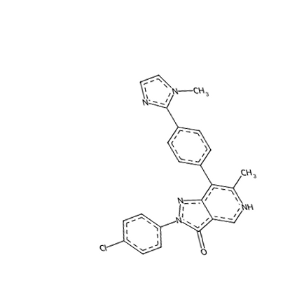 Cc1[nH]cc2c(=O)n(-c3ccc(Cl)cc3)nc-2c1-c1ccc(-c2nccn2C)cc1